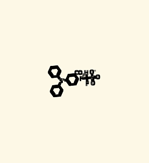 O=C(O)C(F)(F)S(=O)(=O)[O-].c1ccc([S+](c2ccccc2)c2ccccc2)cc1